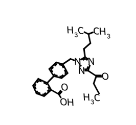 CCCC(=O)c1nc(CCC(C)C)n(Cc2ccc(-c3ccccc3C(=O)O)cc2)n1